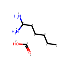 CCCCCC(N)N.O=CO